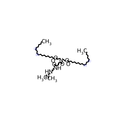 CCCCC/C=C\C/C=C\CCCCCCCC(=O)OCCN(CCOC(=O)CCCCCCC/C=C\C/C=C\CCCCC)C(=O)C=CC(=O)NCCNCCN(C)C